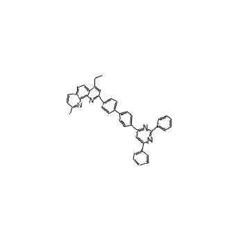 CCc1cc(-c2ccc(-c3ccc(-c4cc(-c5ccccc5)nc(-c5ccccc5)n4)cc3)cc2)nc2c1ccc1ccc(C)nc12